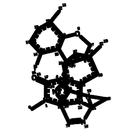 Cn1c2c(n([C@@H]3CCOc4c(F)ccc(F)c43)c1=O)N1CC1(n1cnc3ccc(F)cc31)N=C2